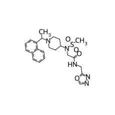 CC(c1cccc2ccccc12)N1CCC(N(CC(=O)NCc2nnco2)S(C)(=O)=O)CC1